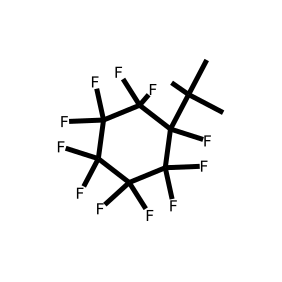 CC(C)(C)C1(F)C(F)(F)C(F)(F)C(F)(F)C(F)(F)C1(F)F